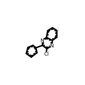 Clc1nc2c[c]ccc2nc1-c1ccccc1